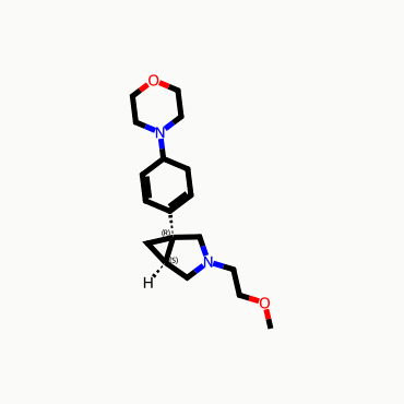 COCCN1C[C@H]2C[C@@]2(C2=CCC(N3CCOCC3)C=C2)C1